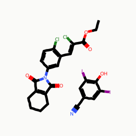 CCOC(=O)/C(Cl)=C/c1cc(N2C(=O)C3=C(CCCC3)C2=O)ccc1Cl.N#Cc1cc(I)c(O)c(I)c1